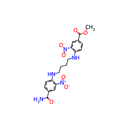 COC(=O)c1ccc(NCCCCNc2ccc(C(N)=O)cc2[N+](=O)[O-])c([N+](=O)[O-])c1